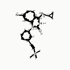 C[Si](C)(C)C#Cc1cccc(-n2c(=O)nc(NC3CC3)c3ccc(Br)cc32)c1